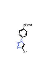 CCCCCc1ccc(-n2cc(C(C)=O)nn2)cc1